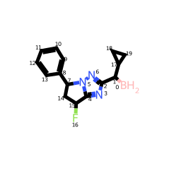 BC(c1nc2n(n1)C(c1ccccc1)CC2F)C1CC1